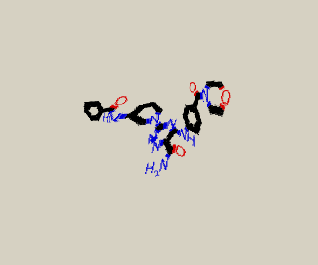 NC(=O)c1nnc(N2CCCC(NC(=O)c3ccccc3)C2)nc1Nc1ccc(C(=O)N2CCOCC2)cc1